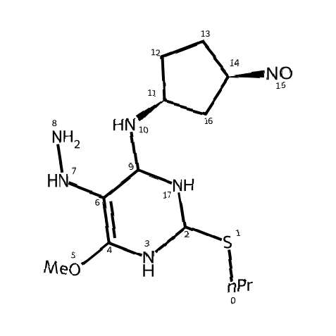 CCCSC1NC(OC)=C(NN)C(N[C@H]2CC[C@@H](N=O)C2)N1